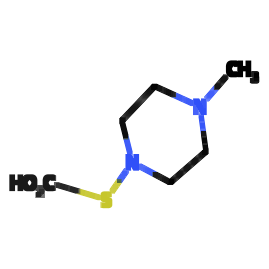 CN1CCN(SC(=O)O)CC1